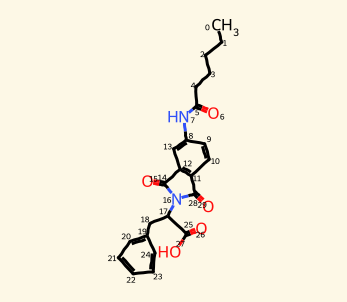 CCCCCC(=O)Nc1ccc2c(c1)C(=O)N(C(Cc1ccccc1)C(=O)O)C2=O